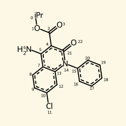 CC(C)OC(=O)c1c(N)c2ccc(Cl)cc2n(-c2ccccc2)c1=O